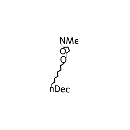 CCCCCCCCCCCCCCCCCCOC[C@H]1CC[C@@H](CNC)O1